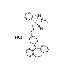 CC(C)C(C#N)(CCCN1CCC(=C2c3ccccc3C=Cc3ccccc32)CC1)c1ccccc1.Cl